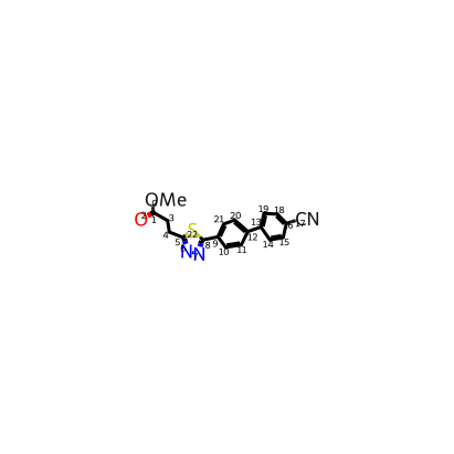 COC(=O)CCc1nnc(-c2ccc(-c3ccc(C#N)cc3)cc2)s1